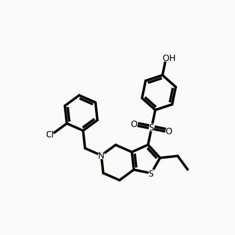 CCc1sc2c(c1S(=O)(=O)c1ccc(O)cc1)CN(Cc1ccccc1Cl)CC2